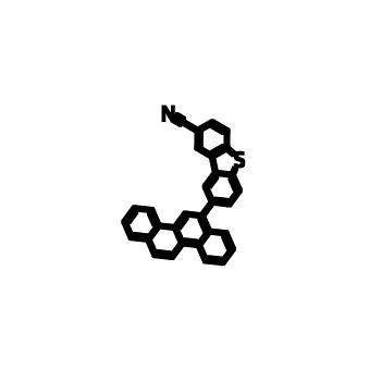 N#Cc1ccc2sc3ccc(-c4cc5c6ccccc6ccc5c5ccccc45)cc3c2c1